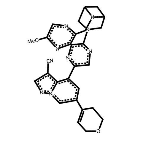 COc1cnc(CN2C3CC2CN(c2cnc(-c4cc(C5=CCOCC5)cn5ncc(C#N)c45)cn2)C3)cn1